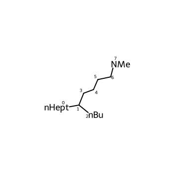 CCCCCCCC(CCCC)CCCCNC